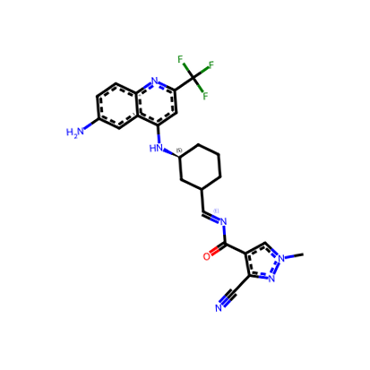 Cn1cc(C(=O)/N=C/C2CCC[C@H](Nc3cc(C(F)(F)F)nc4ccc(N)cc34)C2)c(C#N)n1